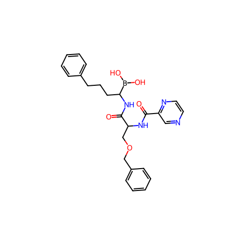 O=C(NC(COCc1ccccc1)C(=O)NC(CCCc1ccccc1)B(O)O)c1cnccn1